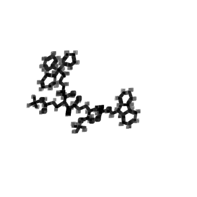 CC(C)(C)OC(=O)CCC(NC(=O)CCC(NC(=O)OCC1c2ccccc2-c2ccccc21)C(=O)OC(C)(C)C)C(=O)NCCSC(c1ccccc1)(c1ccccc1)c1ccccc1